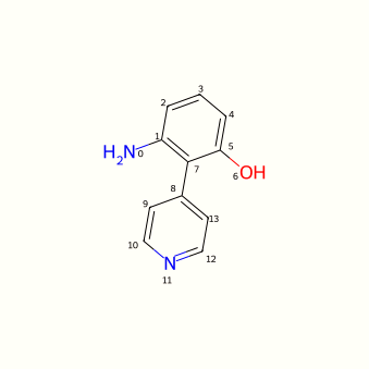 Nc1cccc(O)c1-c1ccncc1